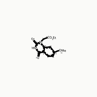 CCOC(=O)Cn1c(=O)[nH]c(=O)c2ccc(OC)cc21